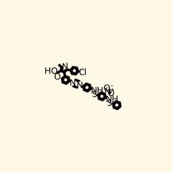 Cc1c(C(=O)O)c(-c2cccc(N3CCN(c4ccc(NSc5ccc(NSc6ccccc6)c([N+](=O)[O-])c5)cc4)CC3)c2)c(-c2ccc(Cl)cc2)n1C